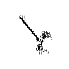 CCCCCCCCCCCCCCCCCCCCCC(=O)OC[C@H](CCOC(=O)[C@@H](N)C(C)CC)Cn1cnc2c(=O)[nH]c(N)nc21